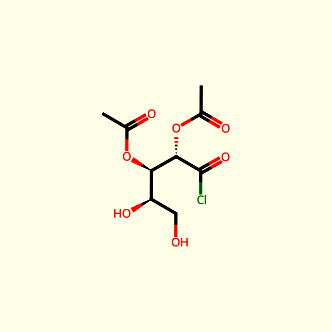 CC(=O)O[C@H]([C@H](O)CO)[C@H](OC(C)=O)C(=O)Cl